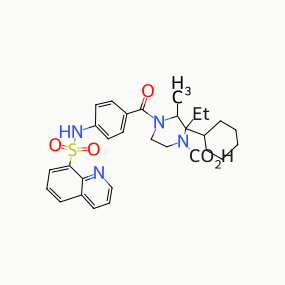 CCC1(C2CCCCC2)C(C)N(C(=O)c2ccc(NS(=O)(=O)c3cccc4cccnc34)cc2)CCN1C(=O)O